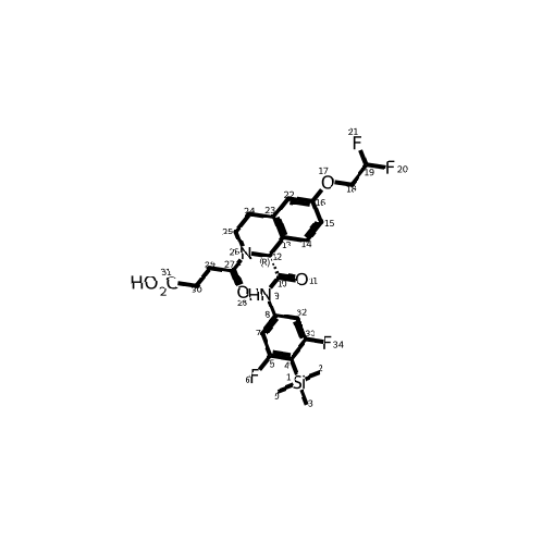 C[Si](C)(C)c1c(F)cc(NC(=O)[C@H]2c3ccc(OCC(F)F)cc3CCN2C(=O)CCC(=O)O)cc1F